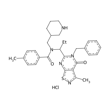 CCC(c1nc2snc(C)c2c(=O)n1Cc1ccccc1)N(CC1CCCNC1)C(=O)c1ccc(C)cc1.Cl